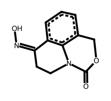 O=C1OCc2cccc3c2N1CC/C3=N/O